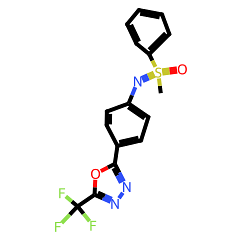 CS(=O)(=Nc1ccc(-c2nnc(C(F)(F)F)o2)cc1)c1ccccc1